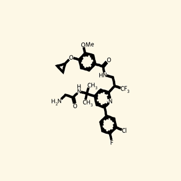 COc1cc(C(=O)NCC(c2cc(C(C)(C)NC(=O)CN)cc(-c3ccc(F)c(Cl)c3)n2)C(F)(F)F)ccc1OC1CC1